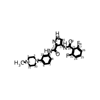 CN1CCN(c2cccc(NC(=O)c3n[nH]cc3NC(=O)c3c(F)cccc3F)c2)CC1